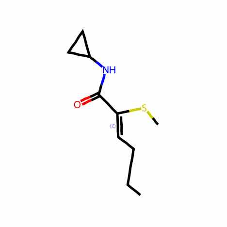 CCC/C=C(\SC)C(=O)NC1CC1